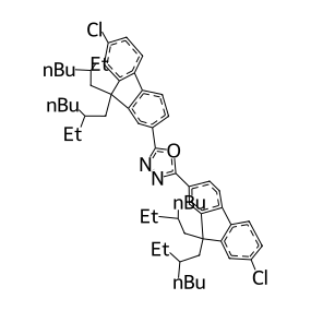 CCCCC(CC)CC1(CC(CC)CCCC)c2cc(Cl)ccc2-c2ccc(-c3nnc(-c4ccc5c(c4)C(CC(CC)CCCC)(CC(CC)CCCC)c4cc(Cl)ccc4-5)o3)cc21